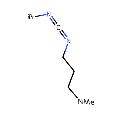 CNCCCN=C=NC(C)C